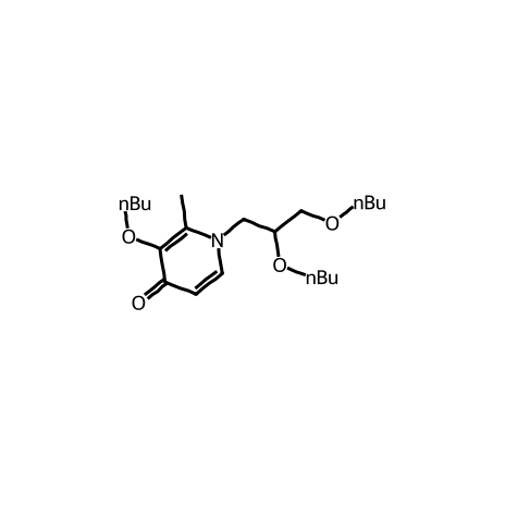 CCCCOCC(Cn1ccc(=O)c(OCCCC)c1C)OCCCC